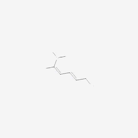 CC/C=C/C=C(/O)N(C)C